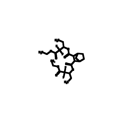 CCOC(=O)C(F)(F)C(CC)OC(=O)C1C2CCC(C2)C1C(=O)OC(CC)C(F)(F)C(=O)OCC